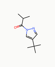 CC(C)C(=O)n1cc(C(C)(C)C)cn1